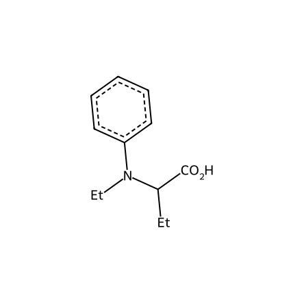 CCC(C(=O)O)N(CC)c1ccccc1